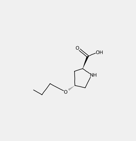 CCCO[C@H]1CN[C@H](C(=O)O)C1